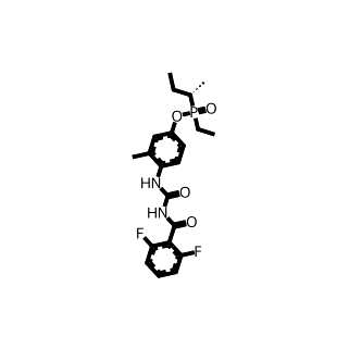 CC[C@H](C)P(=O)(CC)Oc1ccc(NC(=O)NC(=O)c2c(F)cccc2F)c(C)c1